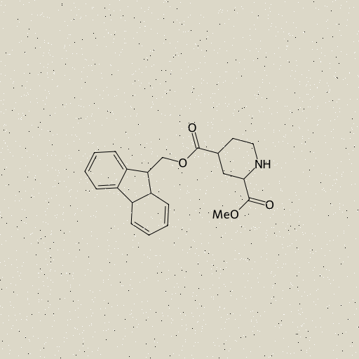 COC(=O)C1CC(C(=O)OCC2c3ccccc3C3C=CC=CC32)CCN1